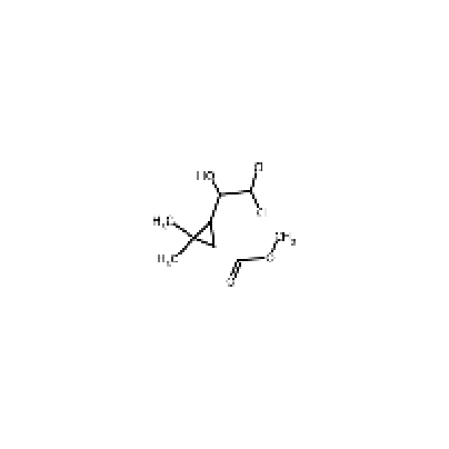 CC1(C)CC1C(O)C(Cl)Cl.COC=O